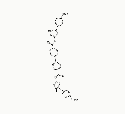 COc1ccc(-c2cc(NC(=O)c3ccc(-c4ccc(C(=O)Nc5cc(-c6ccc(OC)cc6)[nH]n5)cc4)cc3)n[nH]2)cc1